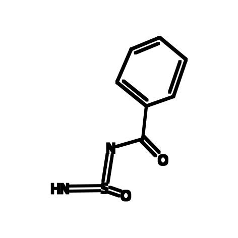 N=S(=O)=NC(=O)c1ccccc1